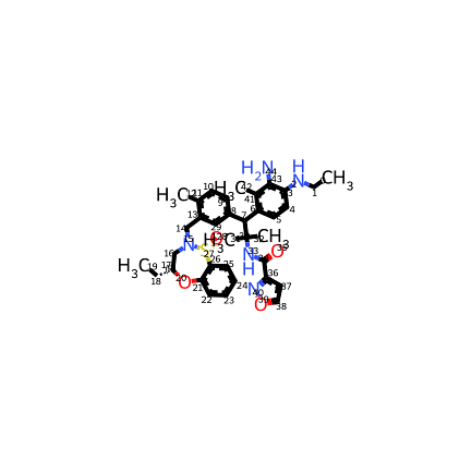 CCNc1ccc(C(c2ccc(C)c(CN3C[C@@H](CC)Oc4ccccc4[S+]3[O-])c2)C(C)(C)NC(=O)c2ccon2)c(C)c1N